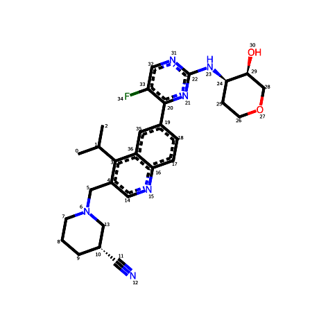 CC(C)c1c(CN2CCC[C@@H](C#N)C2)cnc2ccc(-c3nc(N[C@@H]4CCOC[C@@H]4O)ncc3F)cc12